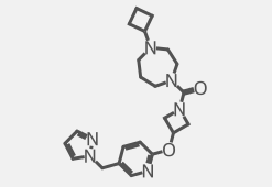 O=C(N1CCCN(C2CCC2)CC1)N1CC(Oc2ccc(Cn3cccn3)cn2)C1